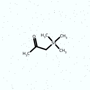 CC(=O)[CH2][Sn]([CH3])([CH3])[CH3]